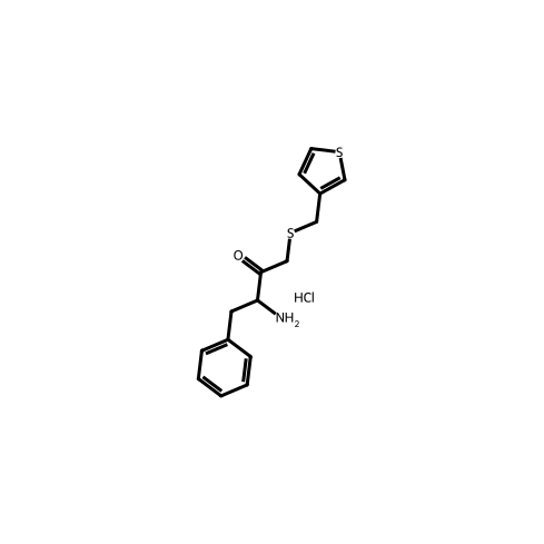 Cl.NC(Cc1ccccc1)C(=O)CSCc1ccsc1